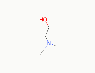 [CH2]N(C)CCO